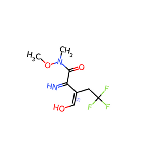 CON(C)C(=O)C(=N)/C(=C\O)CC(F)(F)F